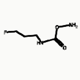 NOC(=O)NCCCF